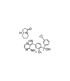 COc1cc(-c2nc([C@@H]3CC[C@H]4CCC(=O)N4C3)n3ccnc(N)c23)ccc1C(C)(O)c1cccc(C2CC2)c1